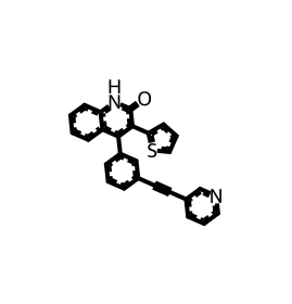 O=c1[nH]c2ccccc2c(-c2cccc(C#Cc3cccnc3)c2)c1-c1cccs1